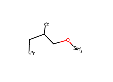 CCCCC(CC)CO[SiH3]